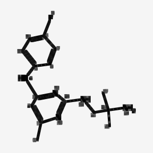 Cc1cc(Nc2ccc(F)cc2)nc(NCC(C)(C)N)n1